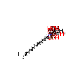 CCCCCCCCCCCCCCCCCCN(C(=O)CC(C(=O)O)C(C)(C(=O)O)C(=O)O)S(=O)(=O)O